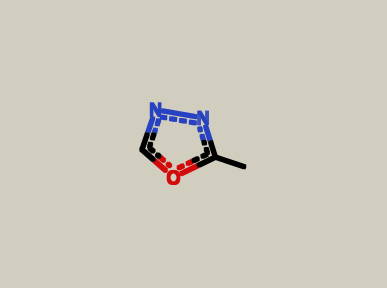 Cc1nnco1